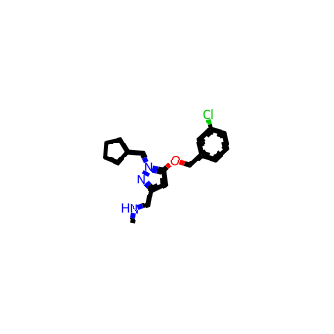 CNCc1cc(OCc2cccc(Cl)c2)n(CC2CCCC2)n1